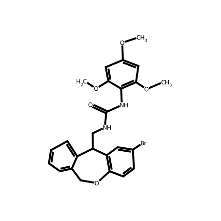 COc1cc(OC)c(NC(=O)NCC2c3ccccc3COc3ccc(Br)cc32)c(OC)c1